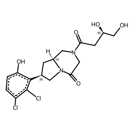 O=C(C[C@@H](O)CO)N1CC(=O)N2C[C@@H](c3c(O)ccc(Cl)c3Cl)C[C@H]2C1